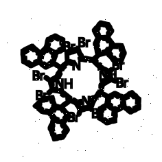 BrC1=C(Br)c2nc1c(-c1cc3ccccc3c3ccccc13)c1[nH]c(c(Br)c1Br)c(-c1cc3ccccc3c3ccccc13)c1nc(c(-c3cc4ccccc4c4ccccc34)c3[nH]c(c(Br)c3Br)c2-c2cc3ccccc3c3ccccc23)C(Br)=C1Br